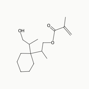 C=C(C)C(=O)OCC(C)C1(C(C)CO)CCCCC1